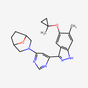 Cc1cc2[nH]nc(-c3cc(N4CC5CCC(C4)O5)ncn3)c2cc1OC1(C)CC1